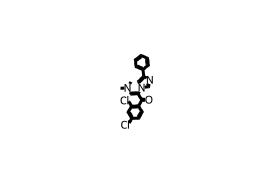 CN(C)C=C(C(=O)c1ccc(Cl)cc1Cl)n1cnc(-c2ccccc2)c1